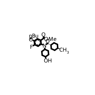 CCCCOc1cc(C(=O)OC)c(N(C(=O)[C@H]2CC[C@H](C)CC2)C2CCC(O)CC2)cc1F